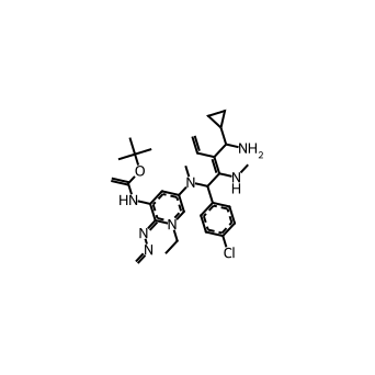 C=C/C(=C(/NC)C(c1ccc(Cl)cc1)N(C)c1cc(NC(=C)OC(C)(C)C)/c(=N/N=C)n(CC)c1)C(N)C1CC1